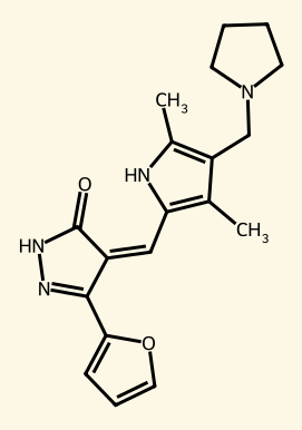 Cc1[nH]c(C=C2C(=O)NN=C2c2ccco2)c(C)c1CN1CCCC1